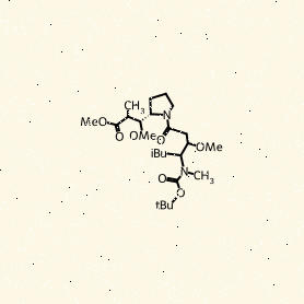 CCC(C)C(C(CC(=O)N1CCC[C@H]1C(OC)C(C)C(=O)OC)OC)N(C)C(=O)OC(C)(C)C